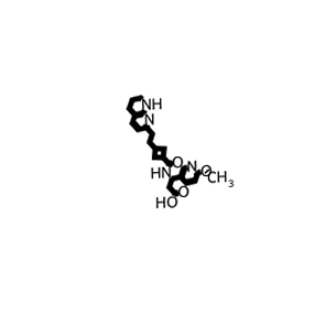 COc1ccc(C(CC(=O)O)NC(=O)C2CC(CCc3ccc4c(n3)NCCC4)C2)cn1